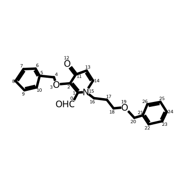 O=Cc1c(OCc2ccccc2)c(=O)ccn1CCCOCc1ccccc1